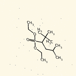 CCOP(=O)(OCC)C(C[C](C)C)C(C)(C)C